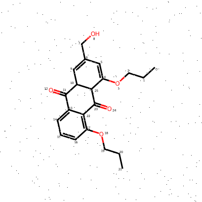 CCCOC1=CC(CO)=CC2C(=O)c3cccc(OCCC)c3C(=O)C12